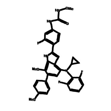 CONC(=O)Nc1ccc(-c2cc3c(N(c4c(F)cccc4F)C4CC4)cc(-c4ccc(OC)cc4)c(OC)c3[nH]2)c(F)c1